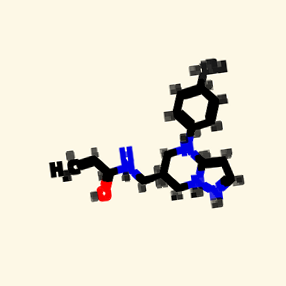 C=CC(=O)NC[C@H]1CN(c2ccc(C(C)(C)C)cc2)c2ccnn2C1